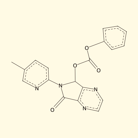 Cc1ccc(N2C(=O)c3nccnc3C2OC(=O)Oc2ccccc2)nc1